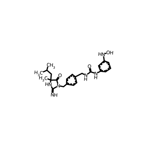 CC(C)CC1(C)NC(=N)N(Cc2ccc(CNC(=O)Nc3cccc(NO)c3)cc2)C1=O